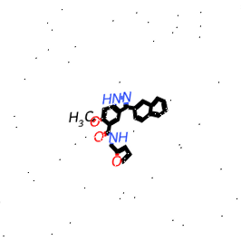 COc1cc2[nH]nc(-c3ccc4ccccc4c3)c2cc1C(=O)NCc1ccco1